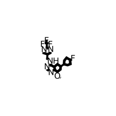 COc1cc(-c2ccc(F)cc2)cc2c(NCc3cnc(C(F)(F)F)nc3)ncnc12